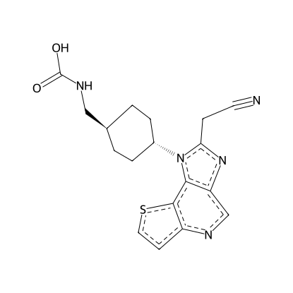 N#CCc1nc2cnc3ccsc3c2n1[C@H]1CC[C@H](CNC(=O)O)CC1